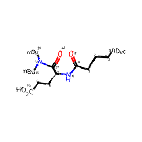 CCCCCCCCCCCCCC(=O)N[C@@H](CCC(=O)O)C(=O)N(CCCC)CCCC